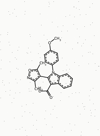 COc1ccc(-n2c(-c3c(C)noc3C)c(C(C)=O)c3ccccc32)cc1